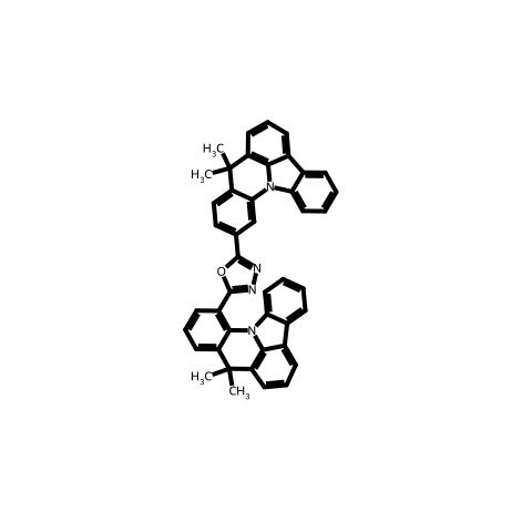 CC1(C)c2ccc(-c3nnc(-c4cccc5c4-n4c6ccccc6c6cccc(c64)C5(C)C)o3)cc2-n2c3ccccc3c3cccc1c32